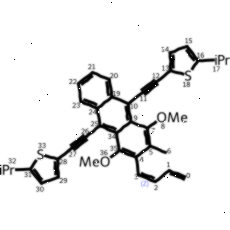 C=C/C=C\c1c(C)c(OC)c2c(C#Cc3ccc(C(C)C)s3)c3ccccc3c(C#Cc3ccc(C(C)C)s3)c2c1OC